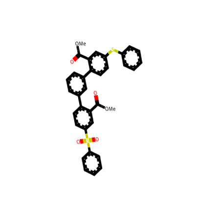 COC(=O)c1cc(Sc2ccccc2)ccc1-c1cccc(-c2ccc(S(=O)(=O)c3ccccc3)cc2C(=O)OC)c1